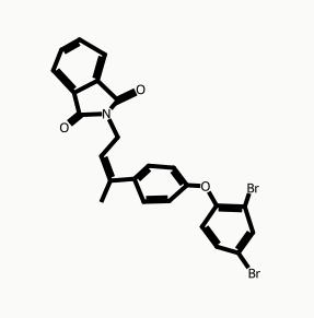 CC(=CCN1C(=O)c2ccccc2C1=O)c1ccc(Oc2ccc(Br)cc2Br)cc1